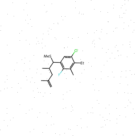 C=C(C)CC(C)C(SC)c1cc(Cl)c(CC)c(C)c1F